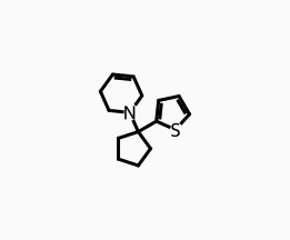 C1=CCN(C2(c3cccs3)CCCC2)CC1